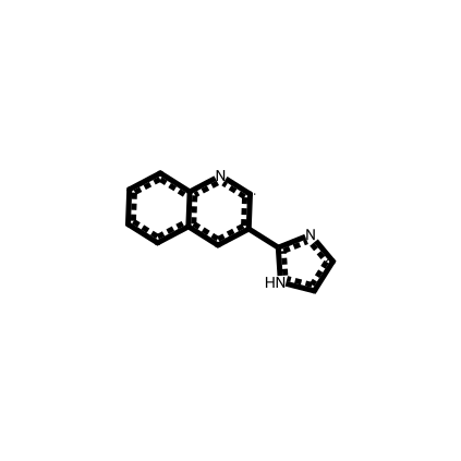 [c]1nc2ccccc2cc1-c1ncc[nH]1